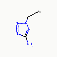 CC(=O)Cn1nnc(N)n1